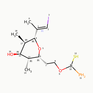 C/C(=C\I)[C@@H]1O[C@H](CCOB(P)S)[C@H](C)[C@@H](O)[C@H]1C